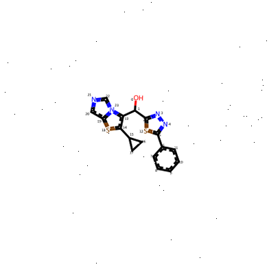 OC(c1nnc(-c2ccccc2)s1)c1c(C2CC2)sc2cncn12